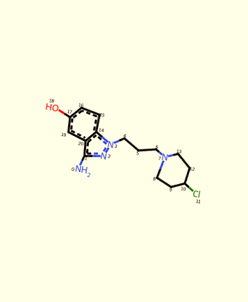 Nc1nn(CCCN2CCC(Cl)CC2)c2ccc(O)cc12